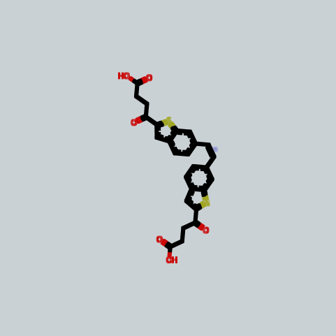 O=C(O)CCC(=O)c1cc2ccc(/C=C\c3ccc4cc(C(=O)CCC(=O)O)sc4c3)cc2s1